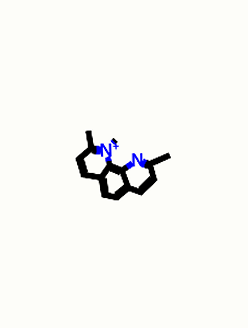 Cc1ccc2ccc3ccc(C)[n+](C)c3c2n1